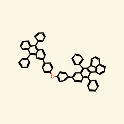 c1ccc(-c2c3c(c(-c4ccccc4)c4cc(-c5ccc(Oc6ccc(-c7ccc8c(-c9ccccc9)c9ccccc9c(-c9ccccc9)c8c7)cc6)cc5)ccc24)-c2cccc4cccc-3c24)cc1